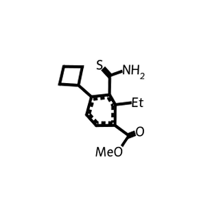 CCc1c(C(=O)OC)ccc(C2CCC2)c1C(N)=S